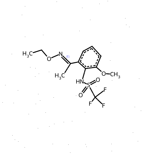 CCO/N=C(\C)c1cccc(OC)c1NS(=O)(=O)C(F)(F)F